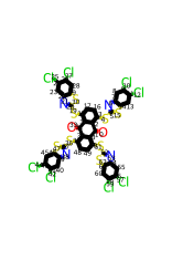 O=C1c2c(Sc3nc4cc(Cl)c(Cl)cc4s3)ccc(Sc3nc4cc(Cl)c(Cl)cc4s3)c2C(=O)c2c(Sc3nc4cc(Cl)c(Cl)cc4s3)ccc(Sc3nc4cc(Cl)c(Cl)cc4s3)c21